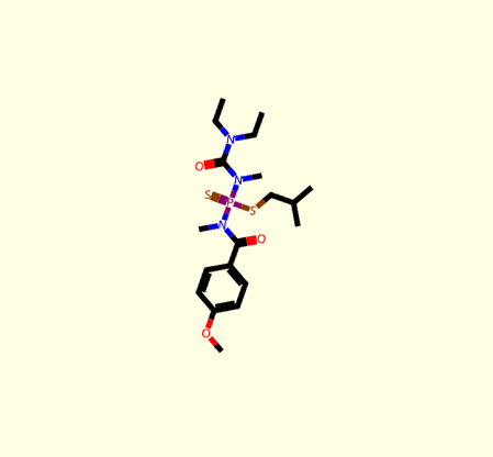 CCN(CC)C(=O)N(C)P(=S)(SCC(C)C)N(C)C(=O)c1ccc(OC)cc1